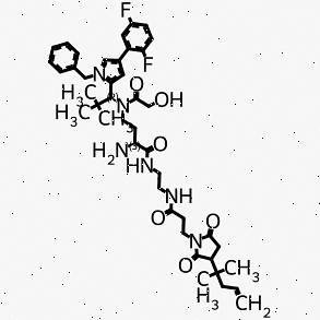 C=CCC(C)(C)C1CC(=O)N(CCC(=O)NCCNC(=O)[C@@H](N)CCN(C(=O)CO)[C@@H](c2cc(-c3cc(F)ccc3F)cn2Cc2ccccc2)C(C)(C)C)C1=O